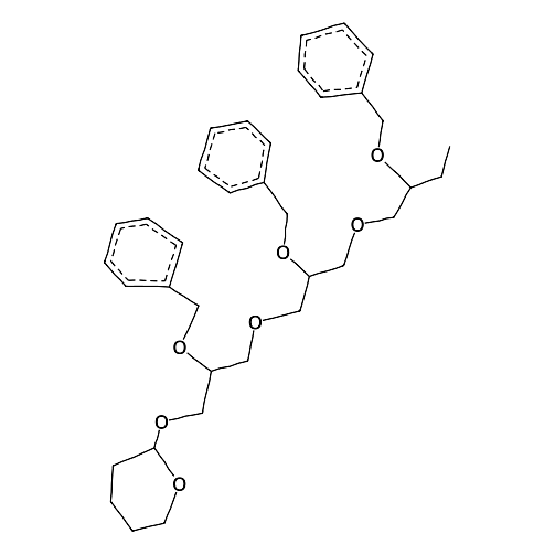 CCC(COCC(COCC(COC1CCCCO1)OCc1ccccc1)OCc1ccccc1)OCc1ccccc1